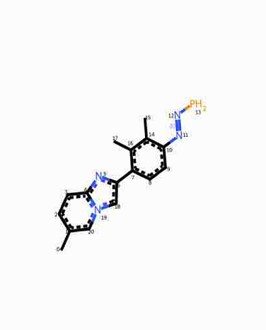 Cc1ccc2nc(-c3ccc(/N=N/P)c(C)c3C)cn2c1